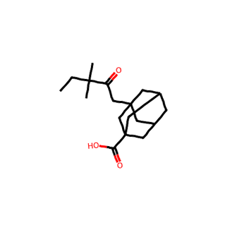 CCC(C)(C)C(=O)CC12CC3CC(C1)CC(C(=O)O)(C3)C2